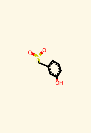 O=[SH](=O)Cc1cccc(O)c1